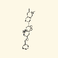 CC1Cc2ccc(C(=O)Cn3ncc(OCc4ccccc4)cc3=O)cc2CN1C